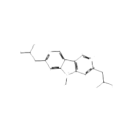 CC(C)Cc1cc2c(cn1)c1cnc(CC(C)C)cc1n2C